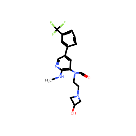 CNc1ncc(-c2cccc(C(F)(F)F)c2)cc1N(C=O)CCN1CC(O)C1